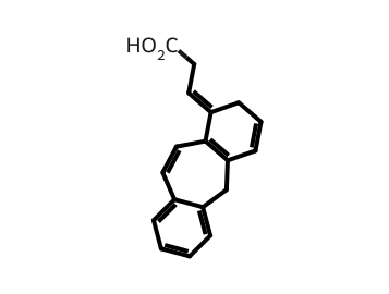 O=C(O)CC=C1CC=CC2=C1C=Cc1ccccc1C2